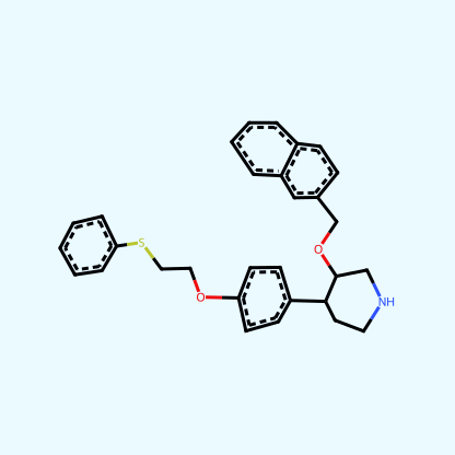 c1ccc(SCCOc2ccc(C3CCNCC3OCc3ccc4ccccc4c3)cc2)cc1